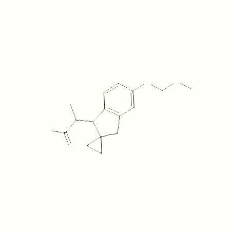 COCOc1ccc2c(c1)CC1(CC1)C2C(C)C(=O)O